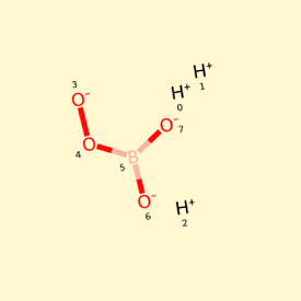 [H+].[H+].[H+].[O-]OB([O-])[O-]